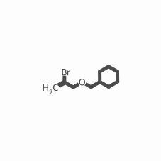 C=C(Br)COCC1CCCCC1